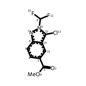 COC(=O)c1ccc2nn(C(F)F)c(Cl)c2c1